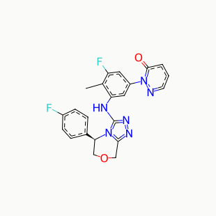 Cc1c(F)cc(-n2ncccc2=O)cc1Nc1nnc2n1[C@H](c1ccc(F)cc1)COC2